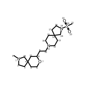 CN1CCC2(CCOC(CCN3CCC4(CC3)CCN(S(C)(=O)=O)C4)C2)C1